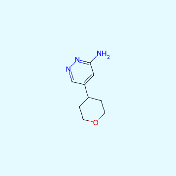 Nc1cc(C2CCOCC2)cnn1